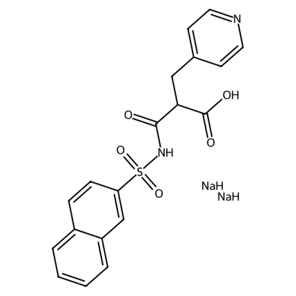 O=C(O)C(Cc1ccncc1)C(=O)NS(=O)(=O)c1ccc2ccccc2c1.[NaH].[NaH]